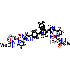 COC(=O)N[C@H](C(=O)N1CCC[C@H]1c1ncc(-c2ccc(-c3ccc(-c4cnc([C@@H]5CCCN5C(=O)[C@H](NC(=O)OC)C(C)C)[nH]4)c4c3C3CCC4N3)cc2)[nH]1)C(C)C